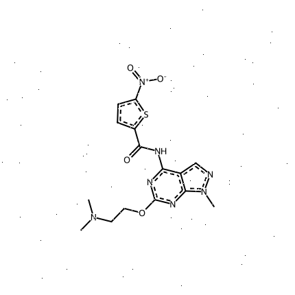 CN(C)CCOc1nc(NC(=O)c2ccc([N+](=O)[O-])s2)c2cnn(C)c2n1